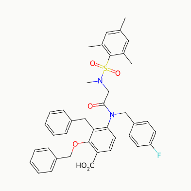 Cc1cc(C)c(S(=O)(=O)N(C)CC(=O)N(Cc2ccc(F)cc2)c2ccc(C(=O)O)c(OCc3ccccc3)c2Cc2ccccc2)c(C)c1